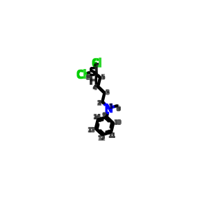 CN(CCCC[SiH](Cl)Cl)c1ccccc1